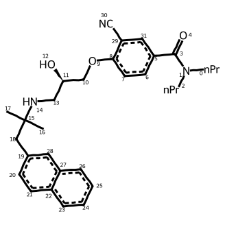 CCCN(CCC)C(=O)c1ccc(OC[C@H](O)CNC(C)(C)Cc2ccc3ccccc3c2)c(C#N)c1